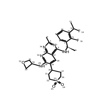 Cc1nc(N[C@H](C)c2cccc(C(C)F)c2F)c2cc(C3CCS(=O)(=O)CC3)c(NC3COC3)nc2n1